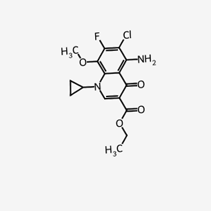 CCOC(=O)c1cn(C2CC2)c2c(OC)c(F)c(Cl)c(N)c2c1=O